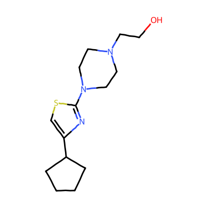 OCCN1CCN(c2nc(C3CCCC3)cs2)CC1